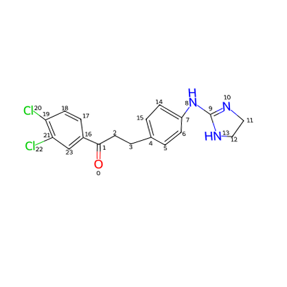 O=C(CCc1ccc(NC2=NCCN2)cc1)c1ccc(Cl)c(Cl)c1